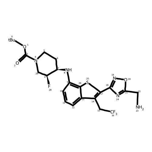 CC(C)(C)OC(=O)N1CC[C@@H](Nc2cccc3c(CC(F)(F)F)c(-c4noc(CN)n4)sc23)[C@@H](F)C1